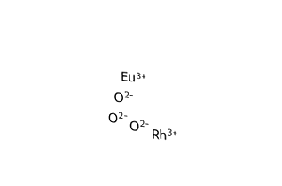 [Eu+3].[O-2].[O-2].[O-2].[Rh+3]